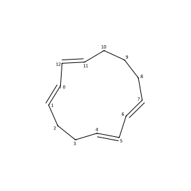 [C]1=C/CC/C=C/C=C/CCC/C=C/1